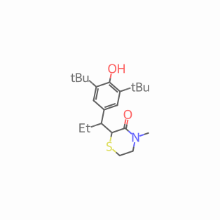 CCC(c1cc(C(C)(C)C)c(O)c(C(C)(C)C)c1)C1SCCN(C)C1=O